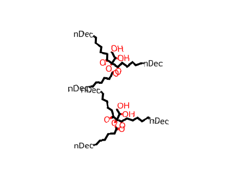 CCCCCCCCCCCCCCCC(=O)OC(C(=O)CCCCCCCCCCCCCCC)(C(=O)CCCCCCCCCCCCCCC)C(O)CO.CCCCCCCCCCCCCCCC(=O)OC(C(=O)CCCCCCCCCCCCCCC)(C(=O)CCCCCCCCCCCCCCC)C(O)CO